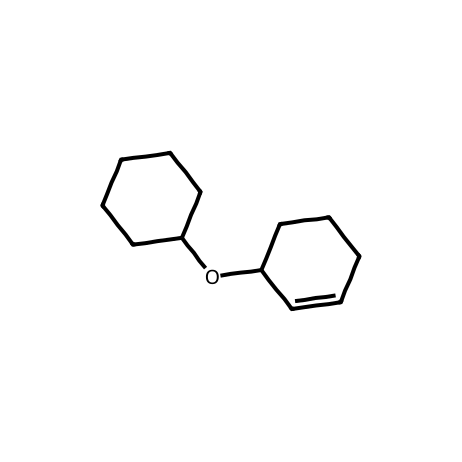 C1=CC(OC2CCCCC2)CCC1